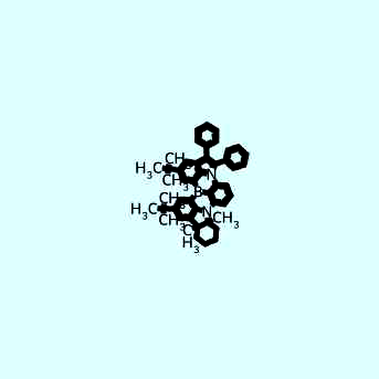 CC(C)(C)c1cc2c3c(c1)C1(C)CCCCC1(C)N3c1cccc3c1B2c1cc(C(C)(C)C)cc2c(-c4ccccc4)c(-c4ccccc4)n-3c12